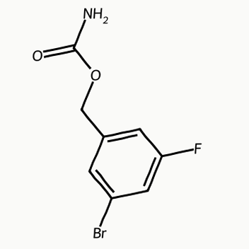 NC(=O)OCc1cc(F)cc(Br)c1